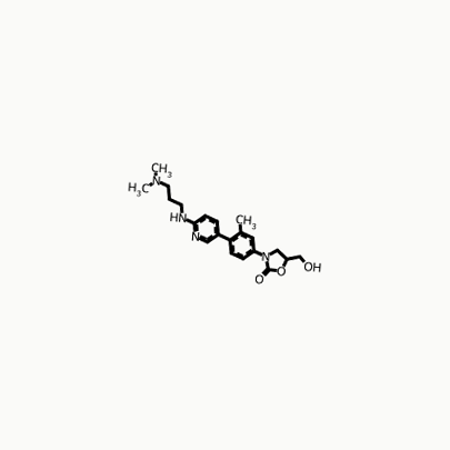 Cc1cc(N2CC(CO)OC2=O)ccc1-c1ccc(NCCCN(C)C)nc1